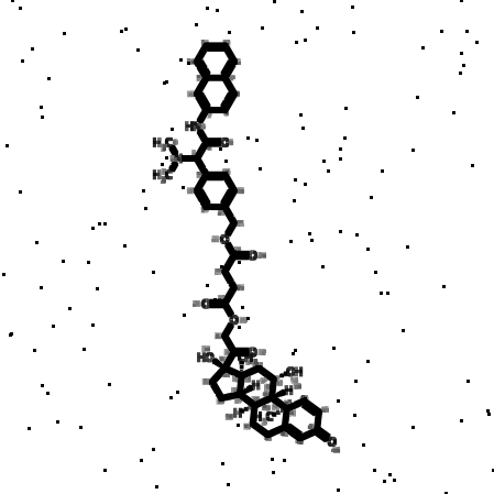 CN(C)C(C(=O)Nc1ccc2ccccc2c1)c1ccc(COC(=O)CCC(=O)OCC(=O)[C@@]2(O)CC[C@H]3[C@@H]4CCC5=CC(=O)C=C[C@]5(C)[C@H]4[C@@H](O)C[C@@]32C)cc1